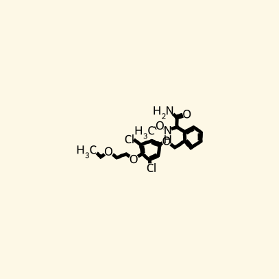 CCOCCOc1c(Cl)cc(OCc2ccccc2C(NOC)C(N)=O)cc1Cl